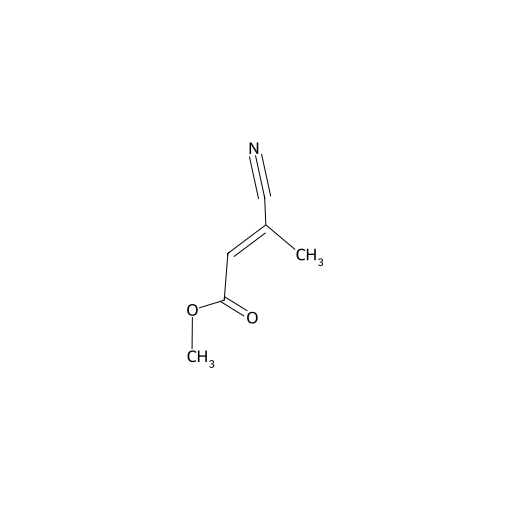 COC(=O)/C=C(\C)C#N